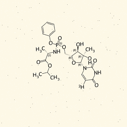 [2H]c1cn([C@@H]2O[C@H](CO[P@@](=O)(N[C@@H](C)C(=O)OC(C)C)Oc3ccccc3)[C@@H](O)[C@@]2(C)O)c(=O)[nH]c1=O